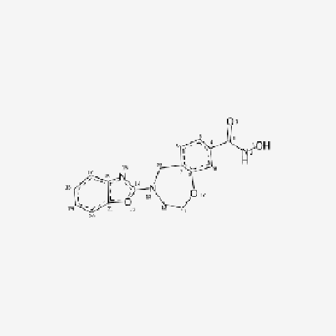 O=C(NO)c1ccc2c(c1)OCCN(c1nc3ccccc3o1)C2